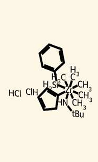 CC(C)(C)[NH][Zr]([CH3])([CH3])([CH3])([CH3])([CH3])([SiH2]c1ccccc1)[C]1=CC=CC1.Cl.Cl